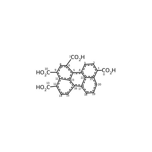 O=C(O)c1ccc2c3c(C(=O)O)cc(C(=O)O)c4c(C(=O)O)ccc(c5cccc1c52)c43